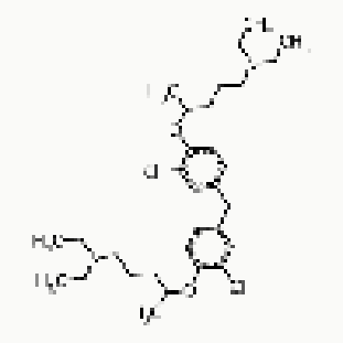 CCN(CC)CCCC(C)Oc1ccc(Cc2ccc(OC(C)CCCN(CC)CC)c(Cl)c2)cc1Cl